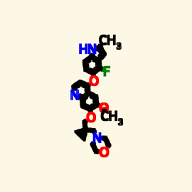 COc1cc2c(Oc3ccc4[nH]c(C)cc4c3F)ccnc2cc1OCC1(CN2CCOCC2)CC1